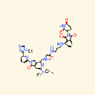 CCn1cnnc1-c1cccc(N2Cc3c(cc(N(C)C(C)C)nc3CNCC(=O)NCCCNc3cccc4c3C(=O)N(C3CCC(=O)NC3=O)C4=O)C2=O)n1